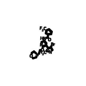 Cn1ncc(Br)c1-c1cc(NC(=O)c2cccc(C(F)(F)F)c2)cnc1OCCN1CCOCC1